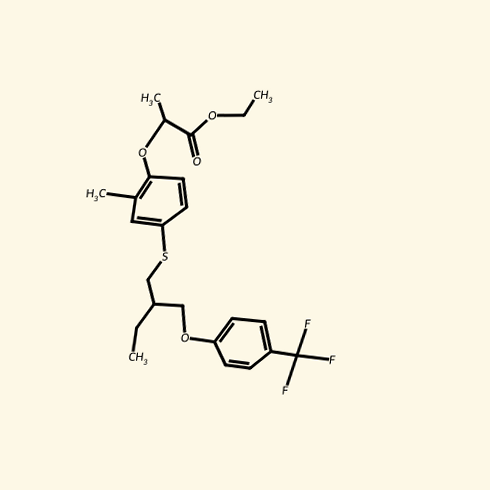 CCOC(=O)C(C)Oc1ccc(SCC(CC)COc2ccc(C(F)(F)F)cc2)cc1C